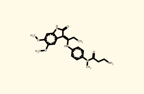 CCC(Nc1ccc(N(C)C(=O)CCN)cc1)=C1C(=O)Nc2cc(OC)c(OC)cc21